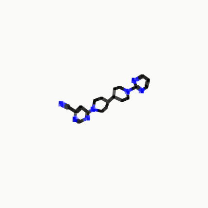 N#Cc1cc(N2CCC(C3CCN(c4ncccn4)CC3)CC2)ncn1